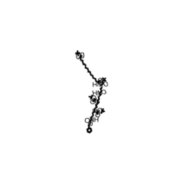 CC(C)(C)OC(=O)CCCCCCCCCCCCCC(=O)N[C@@H](CCC(=O)NCCCN(CCCCN(CCCNC(=O)OCc1ccccc1)C(=O)OC(C)(C)C)C(=O)OC(C)(C)C)C(=O)OC(C)(C)C